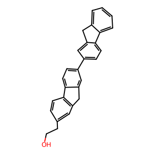 OCCc1ccc2c(c1)Cc1cc(-c3ccc4c(c3)Cc3ccccc3-4)ccc1-2